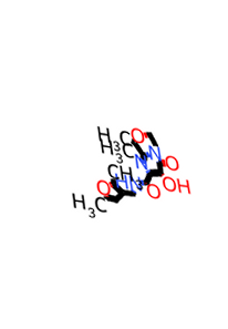 Cc1cc(CNC(=O)c2nc3n(c(=O)c2O)CCOC3(C)C)c(C)o1